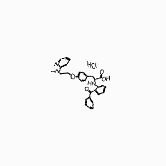 CN(CCOc1ccc(CC(Nc2ccccc2C(=O)c2ccccc2)C(=O)O)cc1)c1ccccn1.Cl